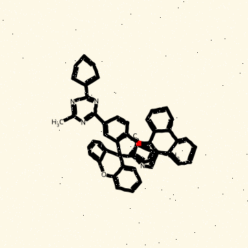 Cc1nc(-c2ccccc2)nc(-c2ccc3c(c2)C2(c4ccccc4Oc4ccccc42)c2ccc(-c4ccccc4-c4ccccc4-c4c(C)cncc4C)cc2-3)n1